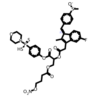 CC1=C(CC(=O)OC(COC(=O)CCCO[N+](=O)[O-])C(=O)Oc2ccc(P(=S)(S)N3CCOCC3)cc2)c2cc(F)ccc2/C1=C\c1ccc([S+](C)[O-])cc1